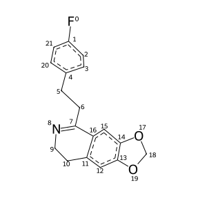 Fc1ccc(CCC2=NCCc3cc4c(cc32)OCO4)cc1